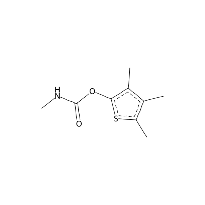 CNC(=O)Oc1sc(C)c(C)c1C